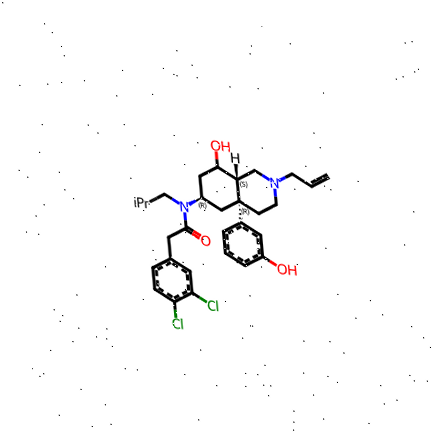 C=CCN1CC[C@@]2(c3cccc(O)c3)C[C@@H](N(CC(C)C)C(=O)Cc3ccc(Cl)c(Cl)c3)CC(O)[C@@H]2C1